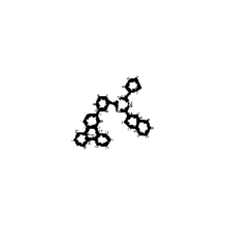 c1ccc(-c2nc(-c3cccc(-c4ccc5c6ccccc6c6ccccc6c5c4)c3)nc(-c3ccc4ccccc4c3)n2)cc1